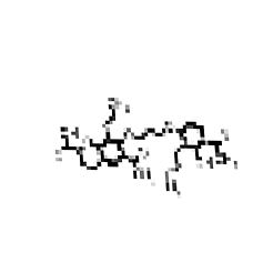 CCCc1c(OCCCOc2c(C(C)=O)cc3c(c2CCC)OC(C(=O)O)CC3)ccc(C(C)=O)c1O